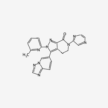 Cc1cccc(-n2nc3c(c2-c2ccc4ncnn4c2)CCN(c2cnccn2)C3=O)n1